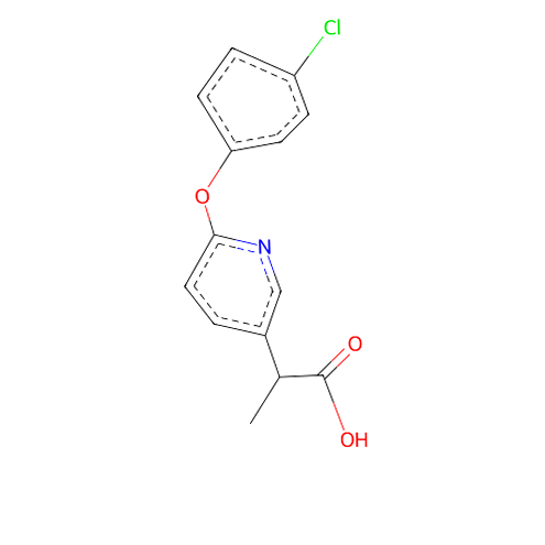 CC(C(=O)O)c1ccc(Oc2ccc(Cl)cc2)nc1